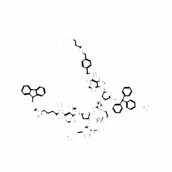 COc1ccc(C(OC[C@H]2O[C@@H](n3cnc4c(NC(=O)c5ccc(CNC(=O)CCC(C)C)cc5)ncnc43)C[C@H]2OP(=O)(OCCC#N)OC[C@H]2O[C@@H](n3cnc4c(NC(=O)CCCN(C)C(=O)OCC5c6ccccc6-c6ccccc65)ncnc43)C[C@H]2OP(OCCC#N)N(C(C)C)C(C)C)(c2ccccc2)c2ccc(OC)cc2)cc1